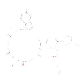 C=CCOC(=O)C[C@@H](NC(=O)[C@H]1CSc2[nH]c3cc(OC)ccc3c2C[C@@H](N)C(=O)NCC(=O)N[C@@H]([C@@H](C)CC)C(=O)NCC(=O)N1)C(=O)N1C[C@H](O)C[C@H]1C(=O)O